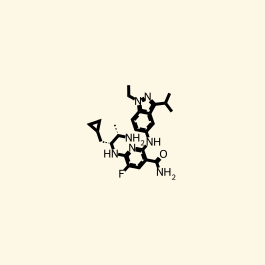 CCn1nc(C(C)C)c2cc(Nc3nc(N[C@H](CC4CC4)[C@H](C)N)c(F)cc3C(N)=O)ccc21